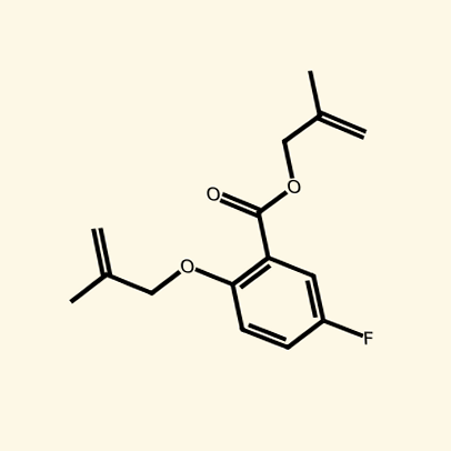 C=C(C)COC(=O)c1cc(F)ccc1OCC(=C)C